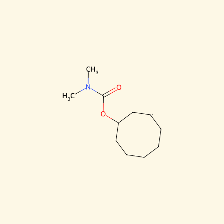 CN(C)C(=O)OC1C[CH]CCCCC1